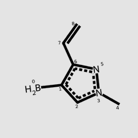 Bc1cn(C)nc1C=C